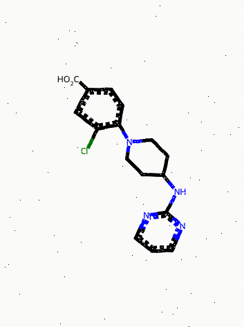 O=C(O)c1ccc(N2CCC(Nc3ncccn3)CC2)c(Cl)c1